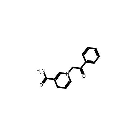 NC(=O)C1=CN(CC(=O)c2ccccc2)C=CC1